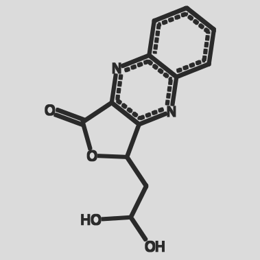 O=C1OC(CC(O)O)c2nc3ccccc3nc21